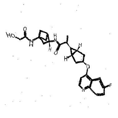 CC(C(=O)N[C@@H]1CC2(NC(=O)CO)CC1C2)[C@H]1[C@@H]2C[C@@H](Oc3ccnc4ccc(F)cc34)C[C@@H]21